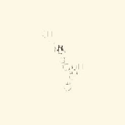 CCCCCCn1cc(COc2ccc(C(=O)/C=C/c3ccccc3)c(O)c2)nn1